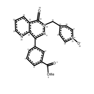 COC(=O)c1cccc(-c2nn(Cc3cc[n+]([O-])cc3)c(=O)c3cccnc23)c1